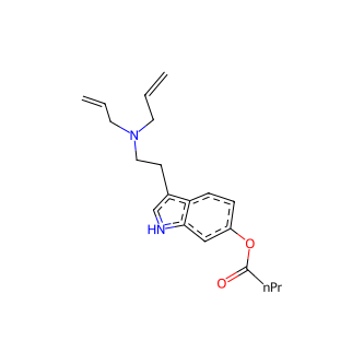 C=CCN(CC=C)CCc1c[nH]c2cc(OC(=O)CCC)ccc12